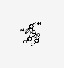 COc1ccc(CO)cc1-c1nc2c(n1C(C)C)C(c1ccc(Cl)cc1C)N(c1cc(Cl)ccc1C)C2=O